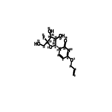 C=CCOc1ccn([C@@H]2O[C@](F)(CO)[C@@H](O)[C@H]2O)c(=O)n1